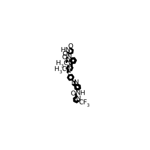 C[C@H]1CN(c2cccc3c2n(C)c(=O)n3C2CCC(=O)NC2=O)CCN1C[C@H]1CC[C@H](n2cc3cc(NC(=O)c4cccc(C(F)(F)F)n4)ccc3n2)CC1